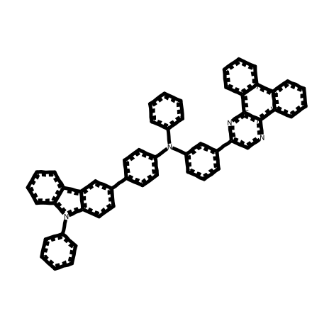 c1ccc(N(c2ccc(-c3ccc4c(c3)c3ccccc3n4-c3ccccc3)cc2)c2cccc(-c3cnc4c5ccccc5c5ccccc5c4n3)c2)cc1